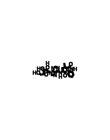 Cc1cc(Nc2ncnc3c2ncn3[C@H]2O[C@@H](CO)[C@H](O)[C@H]2O)c(=O)n2c1C(=O)NC21CCCCC1